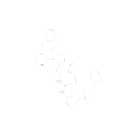 CC(C)CNC(=O)C1CC(S(=O)(=O)c2ccccc2F)C(c2ccccc2F)N1C(=O)CNC(=O)Nc1cccc(C(=O)OCc2ccccc2)c1